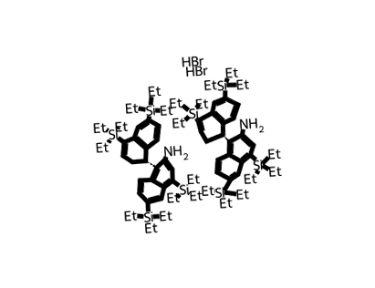 Br.Br.CC[Si](CC)(CC)C1=CC[C@@H](c2c(N)cc([Si](CC)(CC)CC)c3cc([Si](CC)(CC)CC)ccc23)c2ccc([Si](CC)(CC)CC)cc21.CC[Si](CC)(CC)C1=CC[C@@H](c2c(N)cc([Si](CC)(CC)CC)c3cc([Si](CC)(CC)CC)ccc23)c2ccc([Si](CC)(CC)CC)cc21